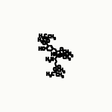 CC(C)(C)OC(=O)CC[C@H](N)C(=O)N[C@@H](Cc1ccc(O)c(C(=O)OC(C)(C)C)c1)C(=O)OC(C)(C)C